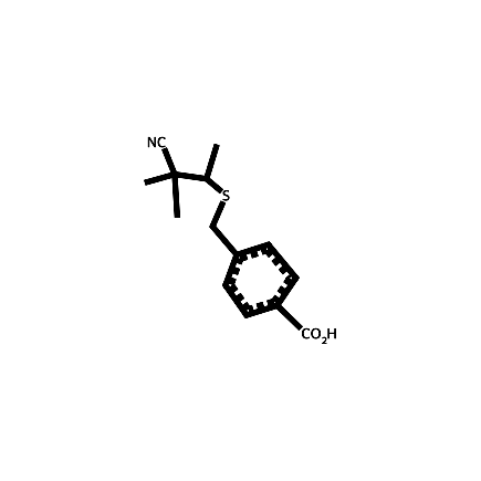 CC(SCc1ccc(C(=O)O)cc1)C(C)(C)C#N